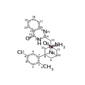 Cc1ccc(Cl)cc1C12CC(CN(Cc3nc4ccccc4c(=O)[nH]3)C1)N2C(N)=O